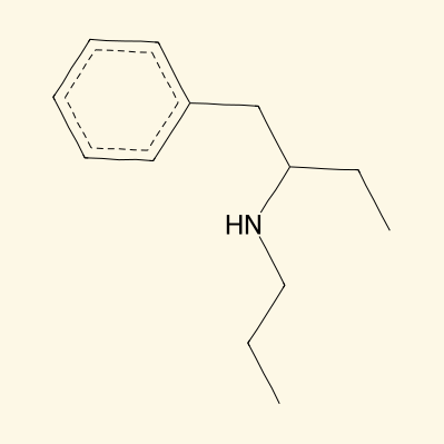 CCCNC(CC)Cc1ccccc1